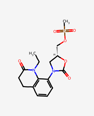 CCN1C(=O)CCc2cccc(N3C[C@H](COS(C)(=O)=O)OC3=O)c21